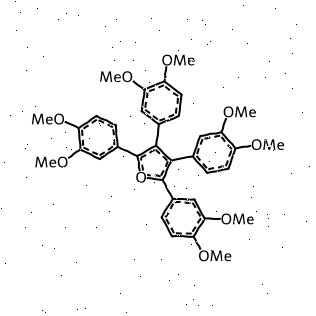 COc1ccc(-c2oc(-c3ccc(OC)c(OC)c3)c(-c3ccc(OC)c(OC)c3)c2-c2ccc(OC)c(OC)c2)cc1OC